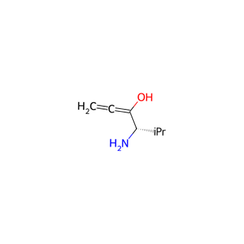 C=C=C(O)[C@@H](N)C(C)C